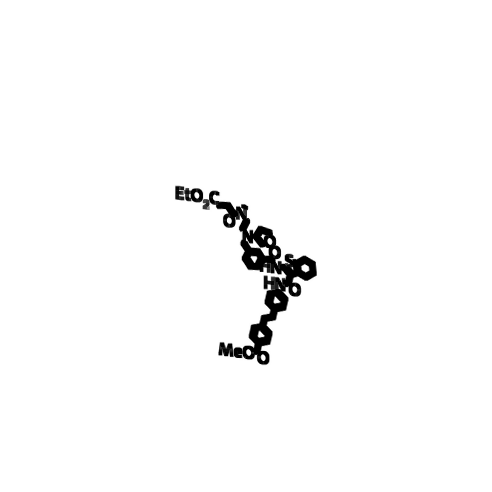 CCOC(=O)CCC(=O)N(C)CCN(Cc1cccc(C(=O)Nc2sc3c(c2C(=O)Nc2ccc(CCc4ccc(C(=O)OC)cc4)cc2)CCCC3)c1)[C@H]1CCOC1